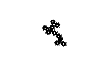 c1ccc(-c2ccccc2-c2ccc(N(c3ccc(-c4ccc5oc6c(c5c4)c4ccccc4n6-c4ccccc4)cc3)c3cccc4c3oc3ccccc34)cc2)cc1